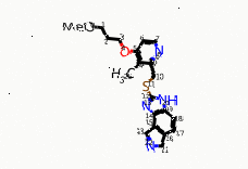 COCCCOc1ccnc(CSc2nc3c4c(ccc3[nH]2)CN=C4)c1C